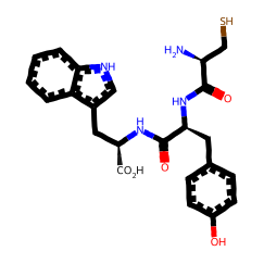 N[C@@H](CS)C(=O)N[C@@H](Cc1ccc(O)cc1)C(=O)N[C@H](Cc1c[nH]c2ccccc12)C(=O)O